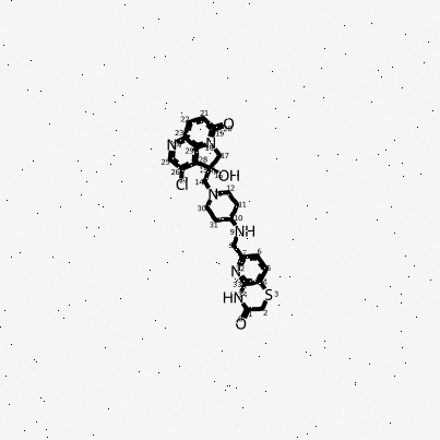 O=C1CSc2ccc(CNC3CCN(C[C@@]4(O)Cn5c(=O)ccc6ncc(Cl)c4c65)CC3)nc2N1